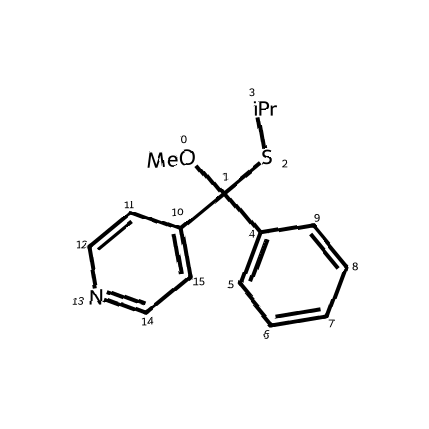 COC(SC(C)C)(c1ccccc1)c1ccncc1